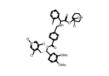 COc1ccc([C@H](Cc2c(Cl)c[n+]([O-])cc2Cl)OC(=O)c2ccc(CNC(C(=O)O[C@H]3CN4CCC3CC4)c3ccccc3F)cc2)cc1OC